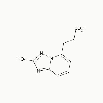 O=C(O)CCc1cccc2nc(O)nn12